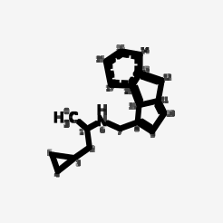 CC(CC1CC1)NCC1=CC=C2C=c3ccccc3=C21